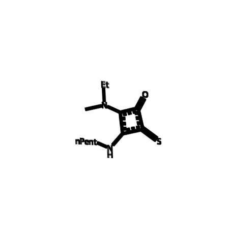 CCCCCNc1c(N(C)CC)c(=O)c1=S